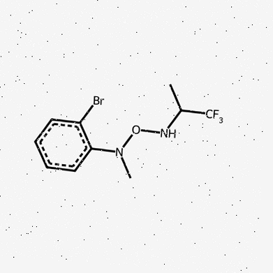 CC(NON(C)c1ccccc1Br)C(F)(F)F